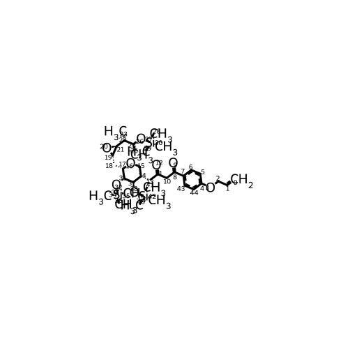 C=CCOc1ccc(C(=O)CC(=O)C[C@H]2CO[C@@H](C[C@@H]3O[C@H]3[C@H](C)[C@H](C)O[Si](C)(C)C)[C@@H](O[Si](C)(C)C)[C@@H]2O[Si](C)(C)C)cc1